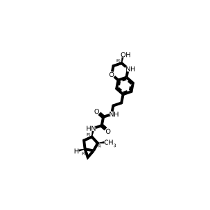 C[C@H]1C2C[C@@H]2C[C@H]1NC(=O)C(=O)NCCc1ccc2c(c1)OC[C@@H](O)N2